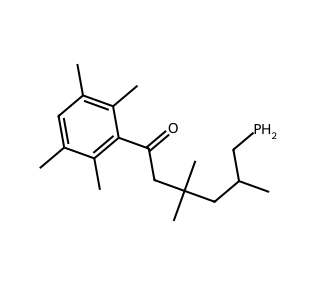 Cc1cc(C)c(C)c(C(=O)CC(C)(C)CC(C)CP)c1C